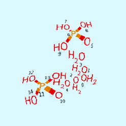 O.O.O.O.O.O=P(O)(O)O.O=P(O)(O)O